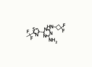 CC(F)(F)c1nc(-c2nc(N)nc(NC3CC(F)(F)C3)n2)cs1